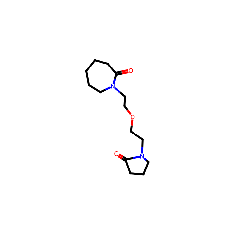 O=C1CCCCCN1CCOCCN1CCCC1=O